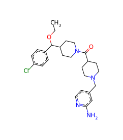 CCOC(c1ccc(Cl)cc1)C1CCN(C(=O)C2CCN(Cc3ccnc(N)c3)CC2)CC1